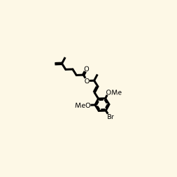 C=C(C)CCCC(=O)OC(C)C=Cc1c(OC)cc(Br)cc1OC